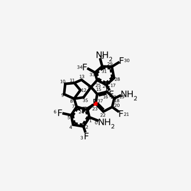 Nc1c(F)cc(F)c(C23CCC(C2)CC(C2=C(F)C(N)C(F)C=C2F)(c2c(F)cc(F)c(N)c2F)C3)c1F